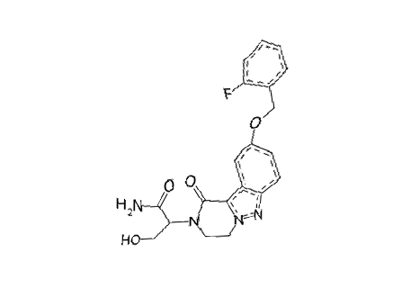 NC(=O)C(CO)N1CCn2nc3ccc(OCc4ccccc4F)cc3c2C1=O